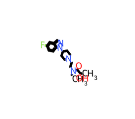 CCN(CCN1CCC(n2ncc3cc(F)ccc32)CC1)C(=O)C(C)O